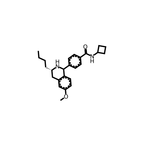 CCCC[C@H]1Cc2cc(OC)ccc2C(c2ccc(C(=O)NC3CCC3)cc2)N1